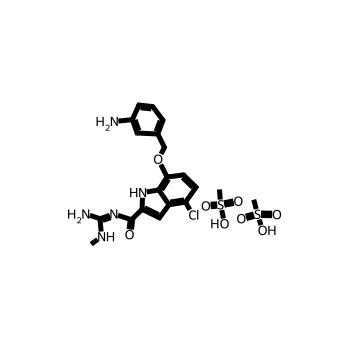 CNC(N)=NC(=O)c1cc2c(Cl)ccc(OCc3cccc(N)c3)c2[nH]1.CS(=O)(=O)O.CS(=O)(=O)O